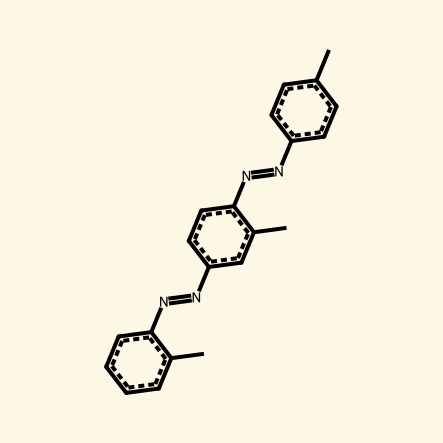 Cc1ccc(N=Nc2ccc(N=Nc3ccccc3C)cc2C)cc1